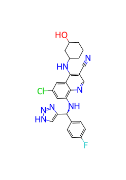 N#Cc1cnc2c(N[C@@H](c3ccc(F)cc3)c3c[nH]nn3)cc(Cl)cc2c1NC1CCCC(O)C1